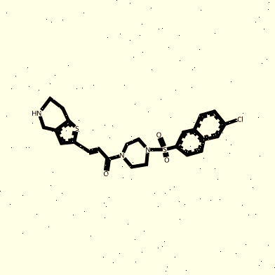 O=C(C=Cc1cc2c(s1)CCNC2)N1CCN(S(=O)(=O)c2ccc3cc(Cl)ccc3c2)CC1